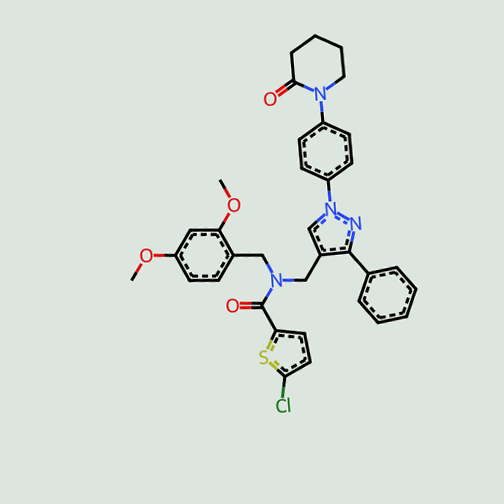 COc1ccc(CN(Cc2cn(-c3ccc(N4CCCCC4=O)cc3)nc2-c2ccccc2)C(=O)c2ccc(Cl)s2)c(OC)c1